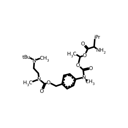 CC(OC(=O)C(N)C(C)C)OC(=O)N(C)c1ccc(COC(=O)N(C)CCN(C)C(C)(C)C)cc1